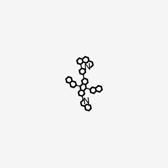 c1ccc2cc(-c3c4ccc(-c5ccc6ccccc6n5)cc4c(-c4ccc5ccccc5c4)c4ccc(-c5ccc(-c6cccc7ccc8cccnc8c67)cc5)cc34)ccc2c1